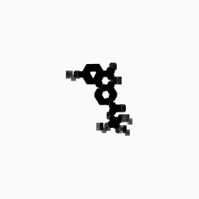 Cc1ccc2c(c1)N1CCN(C(=O)OC(C)(C)C)CC1NC2=O